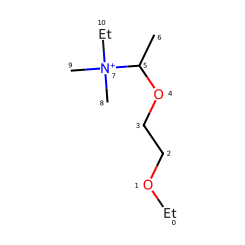 CCOCCOC(C)[N+](C)(C)CC